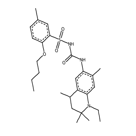 CCCCOc1ccc(C)cc1S(=O)(=O)NC(=O)Nc1cc2c(cc1C)N(CC)C(C)(C)CC2C